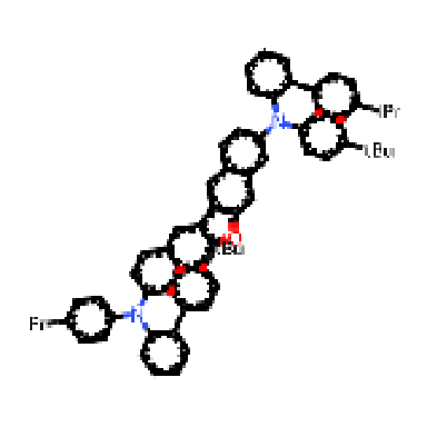 CC(C)c1ccc(-c2ccccc2N(c2ccc(C(C)(C)C)cc2)c2ccc3cc4c(cc3c2)oc2cc3cc(N(c5ccc(C(C)C)cc5)c5ccccc5-c5ccc(C(C)(C)C)cc5)ccc3cc24)cc1